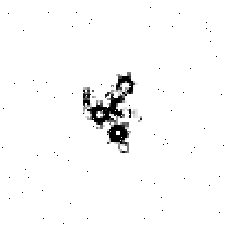 Cc1c(C(=O)CN2CCCCC2)c2cc(N=[N+]=[N-])ccc2n1-c1ccc(Cl)cc1